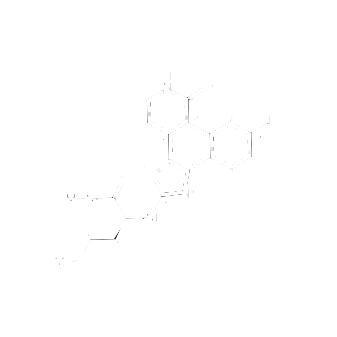 CNC(=O)[C@H](CCOC)Nc1nc2c3ccc(F)cc3c3c(=O)[nH]ccc3c2s1